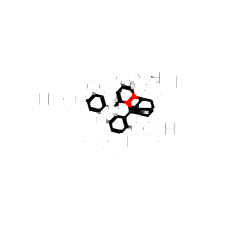 O=C(O)c1ccc(Oc2cc(C(=O)O)c(C(=O)O)c(C3C4CC5CC(C4)CC3C5)c2Oc2ccc(C(=O)O)c(C(=O)O)c2)cc1C(=O)O